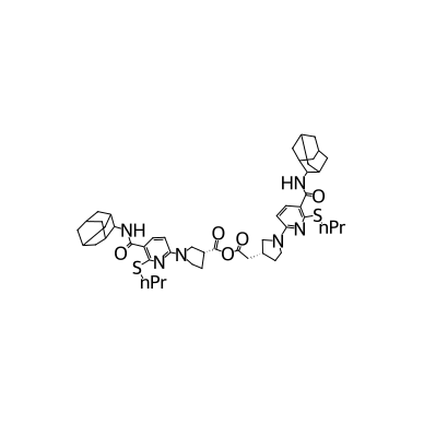 CCCSc1nc(N2CC[C@H](CC(=O)OC(=O)[C@@H]3CCN(c4ccc(C(=O)NC5C6CC7CC(C6)CC5C7)c(SCCC)n4)C3)C2)ccc1C(=O)NC1C2CC3CC(C2)CC1C3